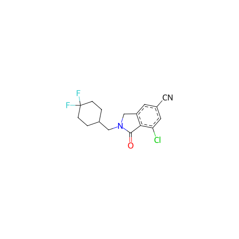 N#Cc1cc(Cl)c2c(c1)CN(CC1CCC(F)(F)CC1)C2=O